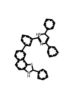 C1=C(c2ccccc2)N=C(c2cccc(-c3ccc4ccc5c(c4c3)SC(c3ccccc3)N5)c2)NC1c1ccccc1